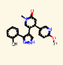 CC(C)Oc1ccc(-c2cc(=O)n(C)cc2-c2c[nH]nc2-c2ccccc2C#N)cn1